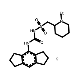 CCN1CCCCC1CS(=O)(=O)NC(=O)Nc1c2c(cc3c1CCC3)CCC2.[K]